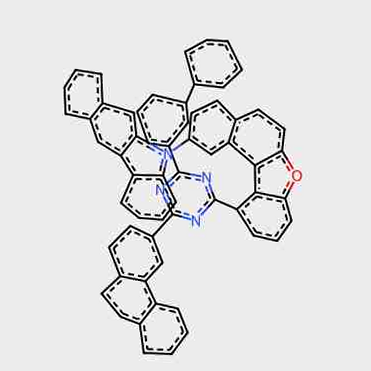 c1ccc(-c2cccc(-c3nc(-c4ccc5ccc6ccccc6c5c4)nc(-c4cccc5oc6ccc7ccc(-n8c9ccccc9c9cc%10ccccc%10cc98)cc7c6c45)n3)c2)cc1